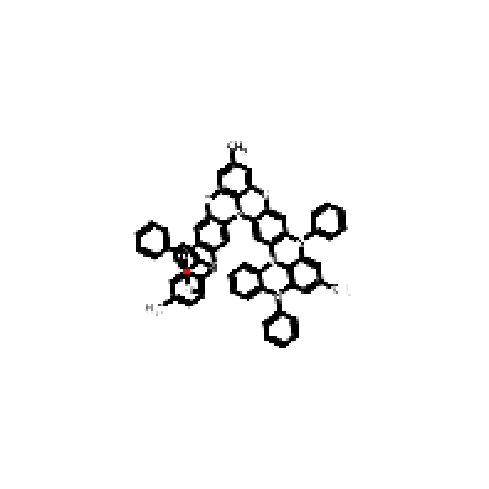 Cc1cc2c3c(c1)Oc1cc4c(cc1B3c1cc3c(cc1O2)N(c1ccccc1)c1cc(C)cc2c1B3c1ccccc1O2)B1c2ccccc2N(c2ccccc2)c2cc(C)cc(c21)N4c1ccccc1